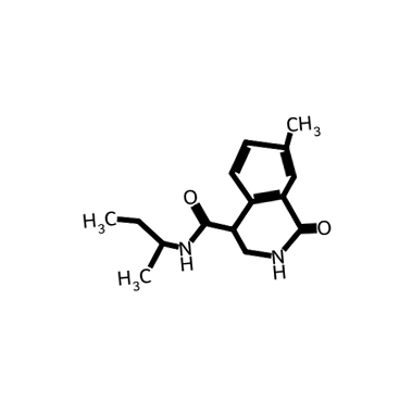 CCC(C)NC(=O)C1CNC(=O)c2cc(C)ccc21